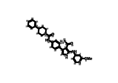 COc1cc(Nc2[nH]nc(-c3ccc(NC(=O)N4CCC(c5ccccc5)CC4)cc3)c2C(N)=O)ccn1